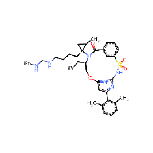 Cc1cccc(C)c1-c1cc2nc(n1)NS(=O)(=O)c1cccc(c1)C(=O)N([C@]1(CCCCNCNC(C)C)CC1C)[C@H](CC(C)C)CO2